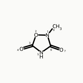 Cn1oc(=O)[nH]c1=O